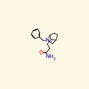 NC(=O)CCC1C2CCC1N(Cc1ccccc1)C2